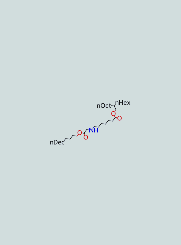 CCCCCCCCCCCCCCOC(=O)CNCCCCCCC(=O)OCC(CCCCCC)CCCCCCCC